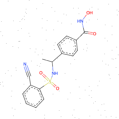 CC(NS(=O)(=O)c1ccccc1C#N)c1ccc(C(=O)NO)cc1